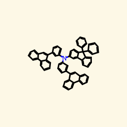 c1ccc(C2(c3ccccc3)c3ccccc3-c3cc(N(c4cccc(-c5cc6ccccc6c6ccccc56)c4)c4cccc(-c5cc6ccccc6c6ccccc56)c4)ccc32)cc1